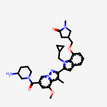 COc1cc(C(=O)N2CCCC(N)C2)cn2nc(-c3cc4cccc(OCC5CC(=O)N(C)C5)c4n3CC3CC3)c(C)c12